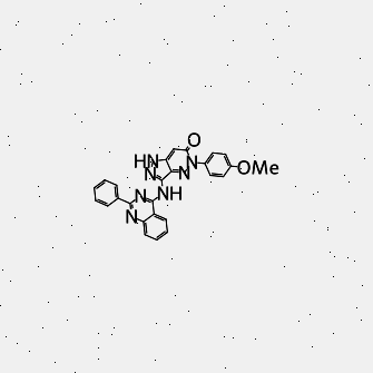 COc1ccc(-n2nc3c(Nc4nc(-c5ccccc5)nc5ccccc45)n[nH]c3cc2=O)cc1